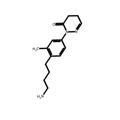 Cc1cc(N2N=CCCC2=O)ccc1CCCCN